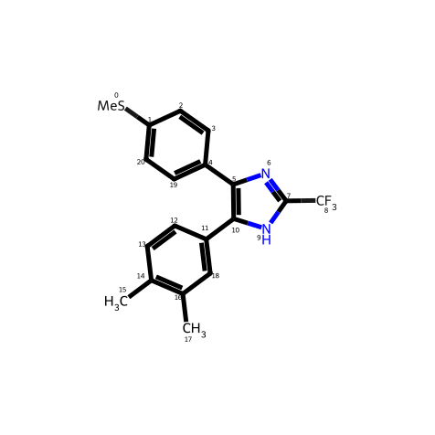 CSc1ccc(-c2nc(C(F)(F)F)[nH]c2-c2ccc(C)c(C)c2)cc1